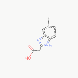 Cc1ccc2[nH]c(CC(=O)O)nc2c1